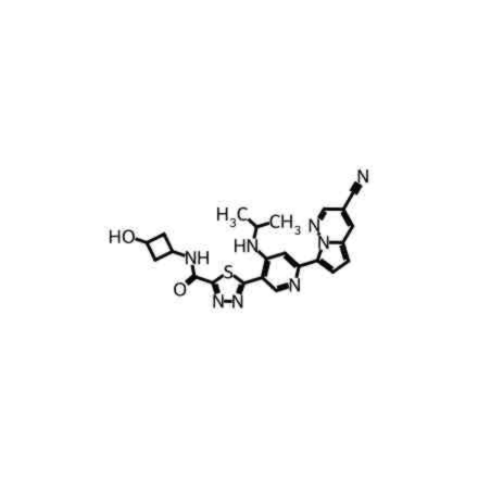 CC(C)Nc1cc(-c2ccc3cc(C#N)cnn23)ncc1-c1nnc(C(=O)NC2CC(O)C2)s1